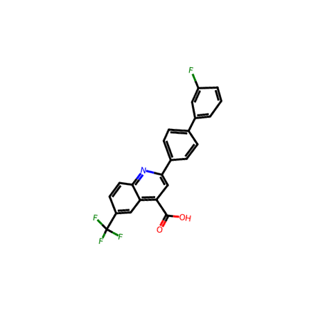 O=C(O)c1cc(-c2ccc(-c3cccc(F)c3)cc2)nc2ccc(C(F)(F)F)cc12